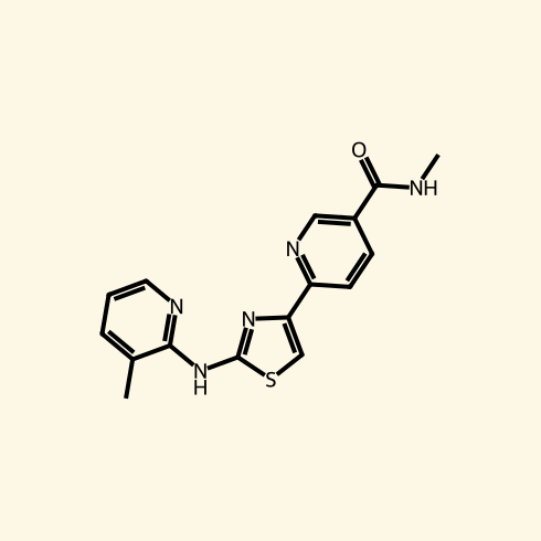 CNC(=O)c1ccc(-c2csc(Nc3ncccc3C)n2)nc1